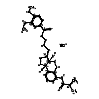 COc1ccc(C(=O)CCCCN2CC[C@H]3c4cccc(OC(=O)N(C)C)c4CC[C@H]32)cc1OC.Cl